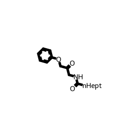 CCCCCCCC(=O)NCC(=O)COc1ccccc1